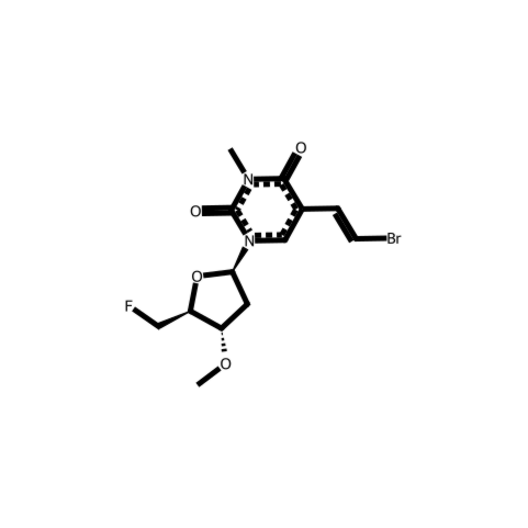 CO[C@H]1C[C@H](n2cc(C=CBr)c(=O)n(C)c2=O)O[C@@H]1CF